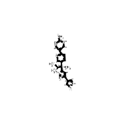 CC(C)[C@@](C)(c1ccc(-c2cnc(N)nc2)nc1)c1cc(-c2cn[nH]c2)on1